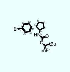 CCCC(OC(=O)N[C@@H]1CCC[C@H]1c1ccc(Br)cc1)C(C)(C)C